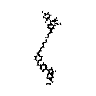 CCCNc1ncc2c(-c3ccc(CN4CCN(CCOCCCOCCCc5ccc6c(c5)n(C)c(=O)n6[C@H]5CCC(=O)NC5=O)CC4)cc3)c[nH]c2n1